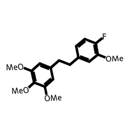 COc1cc(CCc2cc(OC)c(OC)c(OC)c2)ccc1F